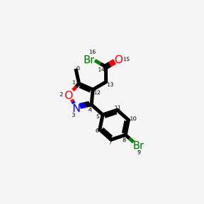 Cc1onc(-c2ccc(Br)cc2)c1CC(=O)Br